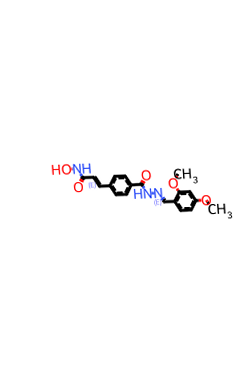 COc1ccc(/C=N/NC(=O)c2ccc(/C=C/C(=O)NO)cc2)c(OC)c1